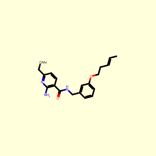 C/C=C/CCOc1cccc(CNC(=O)c2ccc(COC)nc2N)c1